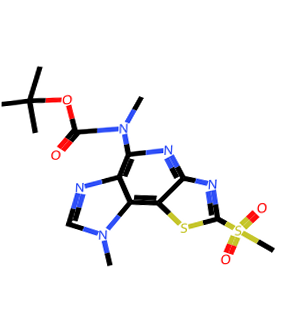 CN(C(=O)OC(C)(C)C)c1nc2nc(S(C)(=O)=O)sc2c2c1ncn2C